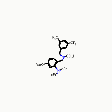 CCCN(CCC)c1cc(OC)ccc1CN(Cc1cc(C(F)(F)F)cc(C(F)(F)F)c1)C(=O)O